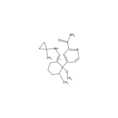 COC1(c2ccnc(C(N)=O)c2)/C(=C/NC2(C)CC2)CCCC1C